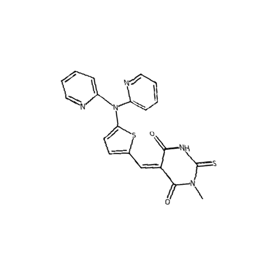 CN1C(=O)/C(=C/c2ccc(N(c3ccccn3)c3ccccn3)s2)C(=O)NC1=S